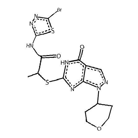 CC(Sc1nc2c(cnn2C2CCOCC2)c(=O)[nH]1)C(=O)Nc1nnc(Br)s1